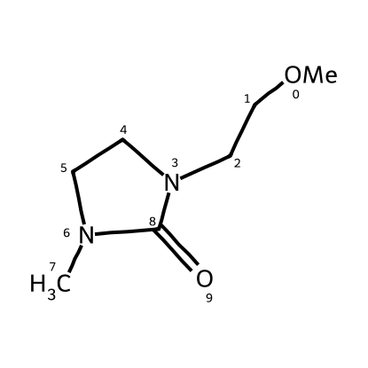 COCCN1CCN(C)C1=O